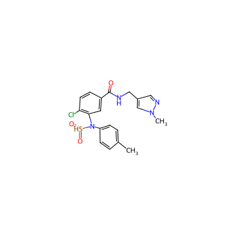 Cc1ccc(N(c2cc(C(=O)NCc3cnn(C)c3)ccc2Cl)[SH](=O)=O)cc1